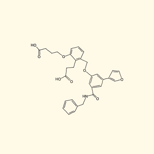 O=C(O)CCCOc1cccc(COc2cc(C(=O)NCc3ccccc3)cc(-c3ccoc3)c2)c1CCC(=O)O